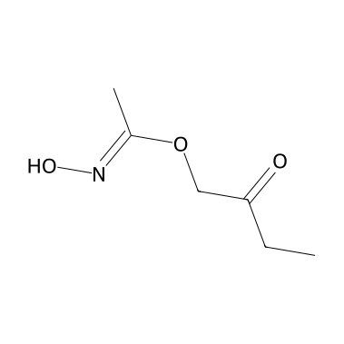 CCC(=O)COC(C)=NO